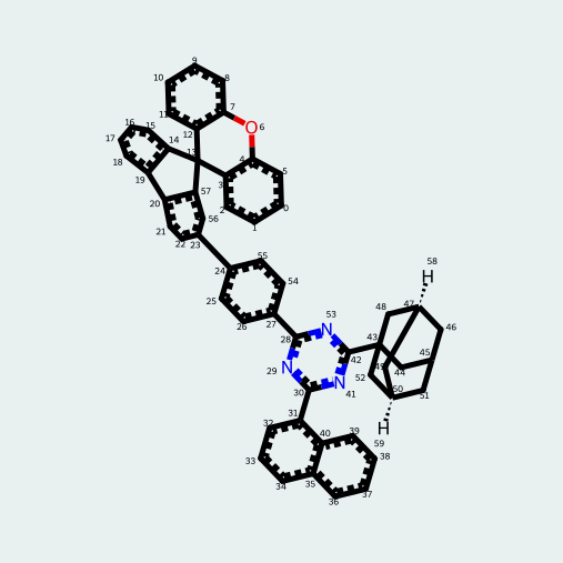 c1ccc2c(c1)Oc1ccccc1C21c2ccccc2-c2ccc(-c3ccc(-c4nc(-c5cccc6ccccc56)nc(C56CC7C[C@H](C5)C[C@@H](C7)C6)n4)cc3)cc21